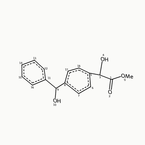 COC(=O)C(O)c1ccc(C(O)c2ccccc2)cc1